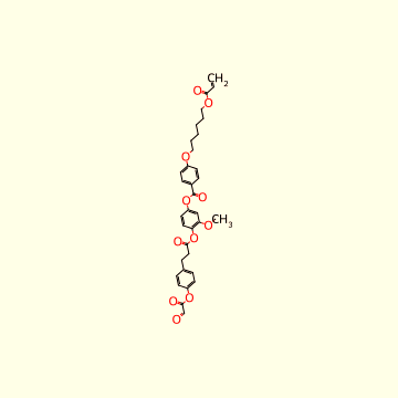 C=CC(=O)OCCCCCCOc1ccc(C(=O)Oc2ccc(OC(=O)CCc3ccc(OC(=O)C=O)cc3)c(OC)c2)cc1